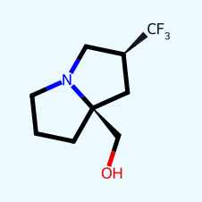 OC[C@@]12CCCN1C[C@@H](C(F)(F)F)C2